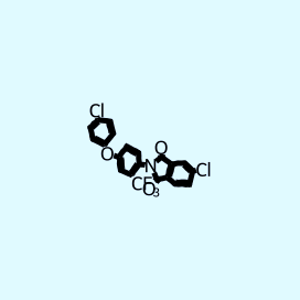 O=C1c2ccc(Cl)cc2C(=O)N1c1ccc(Oc2ccc(Cl)cc2)cc1C(F)(F)F